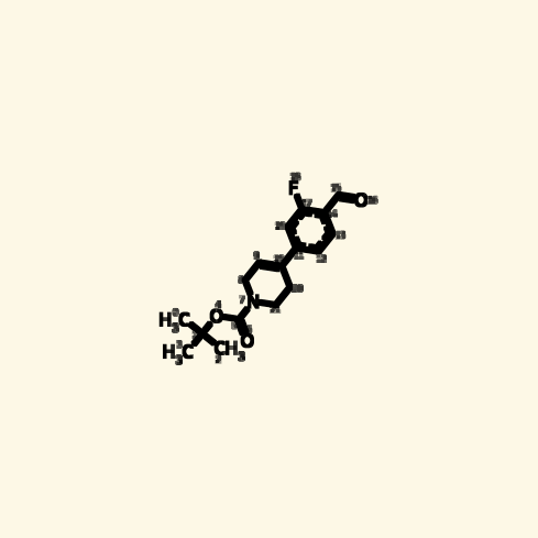 CC(C)(C)OC(=O)N1CC=C(c2ccc(C=O)c(F)c2)CC1